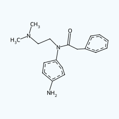 CN(C)CCN(C(=O)Cc1ccccc1)c1ccc(N)cc1